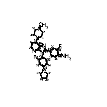 CN1CCN(c2ccnc3c2nc(-c2ccc(N)c(F)c2)n3-c2ccc(N3CCCC3)cc2F)CC1